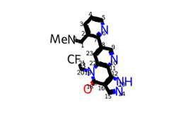 CNCc1cccnc1-c1cnc2c3[nH]ncc3c(=O)n(CC(F)(F)F)c2c1